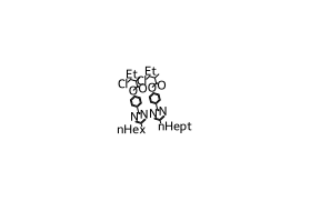 CCCCCCCc1cnc(-c2ccc(OC(=O)C(C)C(Cl)CC)cc2)nc1.CCCCCCc1cnc(-c2ccc(OC(=O)C(C)C(Cl)CC)cc2)nc1